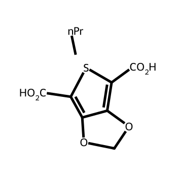 CCCC.O=C(O)c1sc(C(=O)O)c2c1OCO2